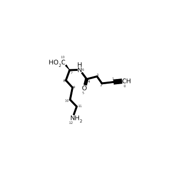 C#CCCC(=O)N[C@@H](CCCCN)C(=O)O